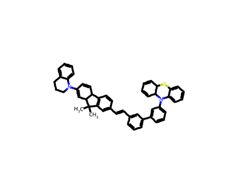 CC1(C)c2cc(/C=C/c3cccc(-c4cccc(N5c6ccccc6SC6C=CC=CC65)c4)c3)ccc2C2C=CC(N3CCCc4ccccc43)=CC21